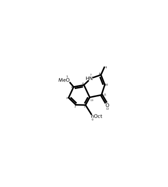 CCCCCCCCc1ccc(OC)c2[nH]c(C)cc(=O)c12